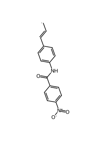 [CH2]C=Cc1ccc(NC(=O)c2ccc([N+](=O)[O-])cc2)cc1